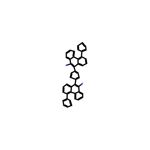 Ic1c(-c2ccc(-c3c(I)c4ccccc4c4c(-c5ccccc5)cccc34)cc2)c2cccc(-c3ccccc3)c2c2ccccc12